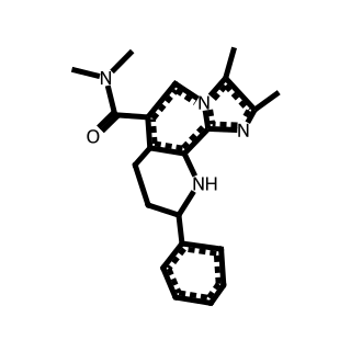 Cc1nc2c3c(c(C(=O)N(C)C)cn2c1C)CCC(c1ccccc1)N3